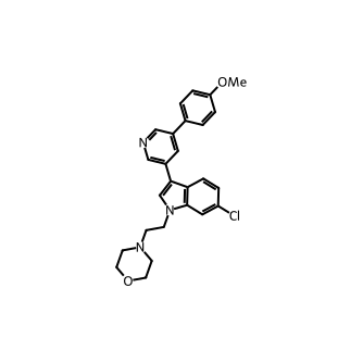 COc1ccc(-c2cncc(-c3cn(CCN4CCOCC4)c4cc(Cl)ccc34)c2)cc1